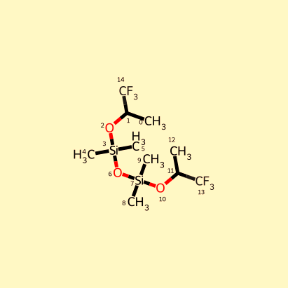 CC(O[Si](C)(C)O[Si](C)(C)OC(C)C(F)(F)F)C(F)(F)F